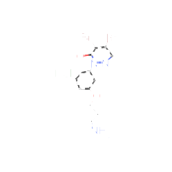 Cl.NCCCOc1cccc(-n2ncc(Br)c(Br)c2=O)c1